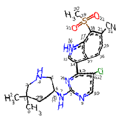 CC1(C)CNC[C@@H](Nc2ncc(Cl)c(-c3c[nH]c4c(S(C)(=O)=O)c(C#N)ccc34)n2)C1